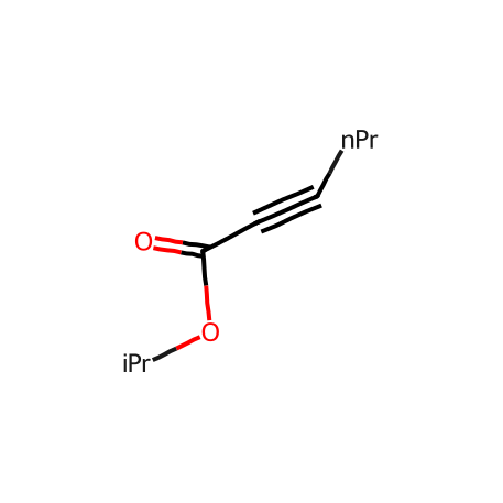 CCCC#CC(=O)OC(C)C